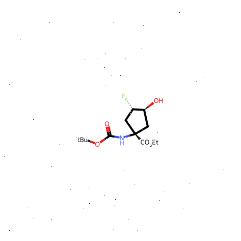 CCOC(=O)[C@]1(NC(=O)OC(C)(C)C)C[C@H](O)[C@@H](F)C1